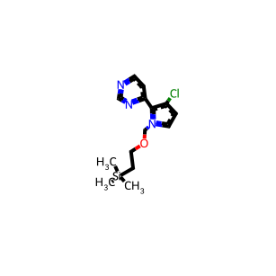 C[Si](C)(C)CCOCn1ccc(Cl)c1-c1ccncn1